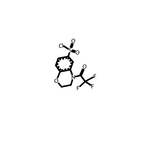 O=C(N1CCOc2ccc(S(=O)(=O)Cl)cc21)C(F)(F)F